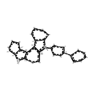 c1ccc(-c2ccc(-n3c4ccccc4c4c5c(ccc43)oc3ccccc35)cc2)cc1